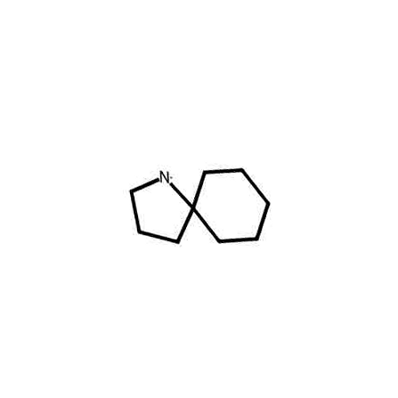 C1CCC2(CC1)CCC[N]2